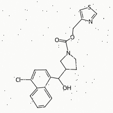 O=C(OCc1cscn1)N1CCC(C(O)c2ccc(Cl)c3ccccc23)C1